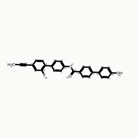 CC#Cc1ccc(-c2ccc(OC(=O)c3ccc(-c4ccc(O)cc4)cc3)cc2)c(F)c1